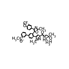 Cc1nc(-c2ccc(OC(F)(F)F)cc2)c(-c2cc(-c3cccc([S+](C)[O-])c3)ccc2-c2cc(C(=O)NCC(C)(C)O)nn2C)o1